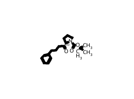 CC(C)(C)OC(=O)N1CCC[C@H]1C(=O)CCCc1ccccc1